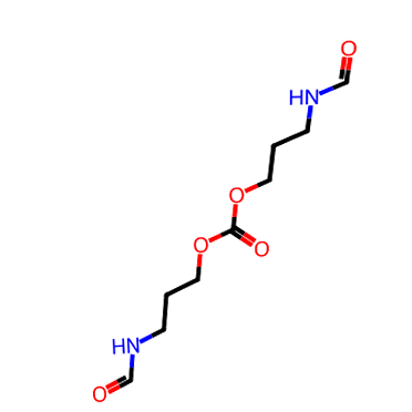 O=CNCCCOC(=O)OCCCNC=O